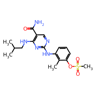 Cc1c(Nc2ncc(C(N)=O)c(NCC(C)C)n2)cccc1OS(C)(=O)=O